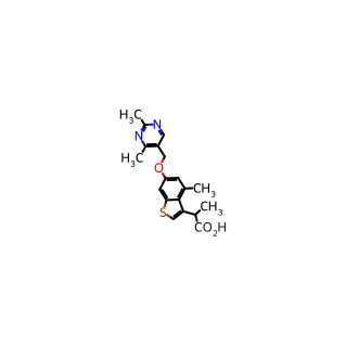 Cc1ncc(COc2cc(C)c3c(C(C)C(=O)O)csc3c2)c(C)n1